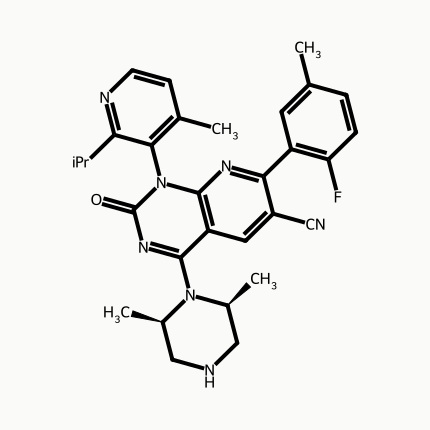 Cc1ccc(F)c(-c2nc3c(cc2C#N)c(N2[C@H](C)CNC[C@@H]2C)nc(=O)n3-c2c(C)ccnc2C(C)C)c1